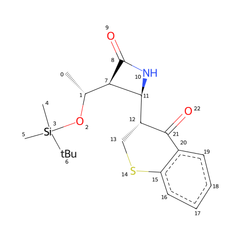 C[C@@H](O[Si](C)(C)C(C)(C)C)[C@H]1C(=O)N[C@H]1[C@H]1CSc2ccccc2C1=O